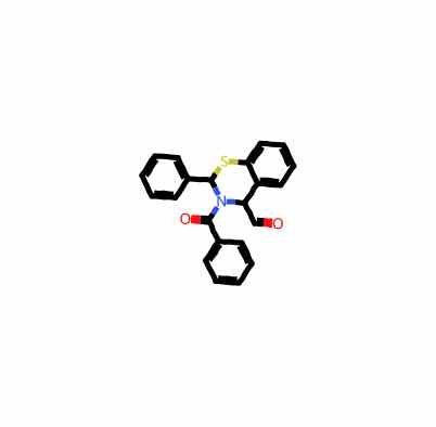 O=CC1c2ccccc2SC(c2ccccc2)N1C(=O)c1ccccc1